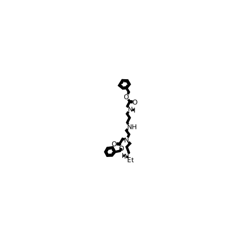 CCN(I)CCCN(CCNCCCN(I)CC(=O)OCc1ccccc1)CC(=O)OCc1ccccc1